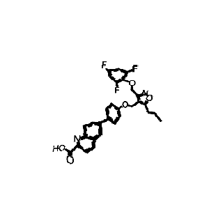 CCCc1onc(COc2c(F)cc(F)cc2F)c1COc1ccc(-c2ccc3nc(C(=O)O)ccc3c2)cc1